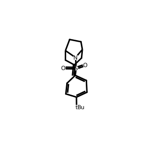 C=C1CC2CCC(C1)N2S(=O)(=O)c1ccc(C(C)(C)C)cc1